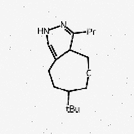 CC(C)C1=NNC=C2CCC(C(C)(C)C)CCCC21